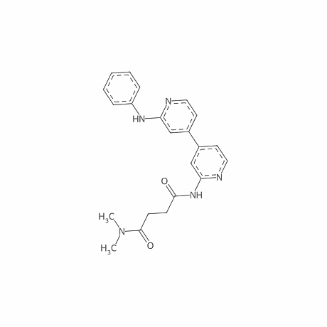 CN(C)C(=O)CCC(=O)Nc1cc(-c2ccnc(Nc3ccccc3)c2)ccn1